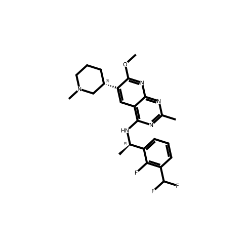 COc1nc2nc(C)nc(N[C@H](C)c3cccc(C(F)F)c3F)c2cc1[C@H]1CCCN(C)C1